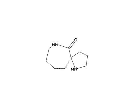 O=C1NCCCC[C@@]12CCCN2